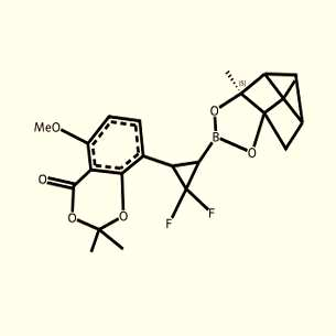 COc1ccc(C2C(B3OC45CC6CC(C64C)[C@]5(C)O3)C2(F)F)c2c1C(=O)OC(C)(C)O2